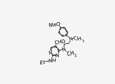 CCNc1ncc(C=O)c(N(C)CCN(C)c2ccc(OC)cc2)n1